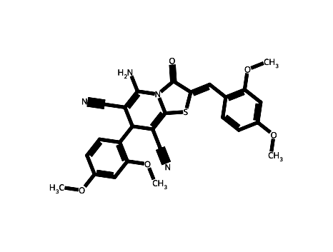 COc1ccc(C=c2sc3n(c2=O)C(N)=C(C#N)C(c2ccc(OC)cc2OC)C=3C#N)c(OC)c1